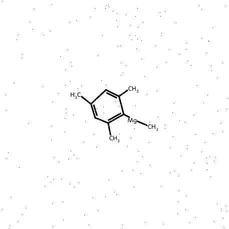 [CH3][Mg][c]1c(C)cc(C)cc1C